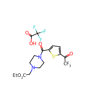 CCOC(=O)CN1CCN(C(=O)c2ccc(C(=O)C(F)(F)F)s2)CC1.O=C(O)C(F)(F)F